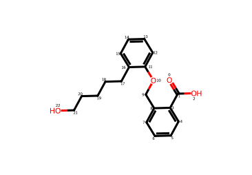 O=C(O)c1ccccc1COc1ccccc1CCCCCO